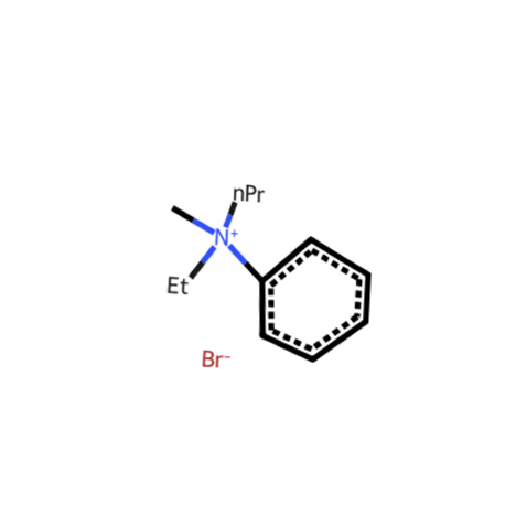 CCC[N+](C)(CC)c1ccccc1.[Br-]